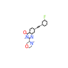 CN1CCOCC1c1nc2cc(C#Cc3cccc(F)c3)ccc2c(=O)n1C